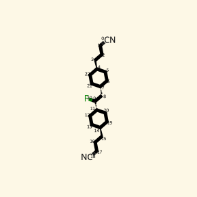 N#CCCC[C@H]1CC[C@H](CC(F)[C@H]2CC[C@H](CCCC#N)CC2)CC1